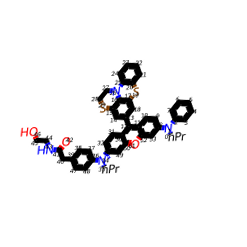 CCCN(c1ccccc1)c1ccc2c(-c3cc4c5c(c3)Sc3ccccc3N5CCS4)c3cc/c(=[N+](/CCC)c4ccc(CC(=O)NCCO)cc4)cc-3oc2c1